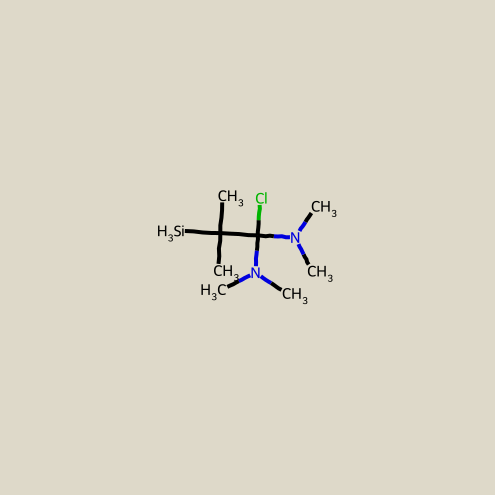 CN(C)C(Cl)(N(C)C)C(C)(C)[SiH3]